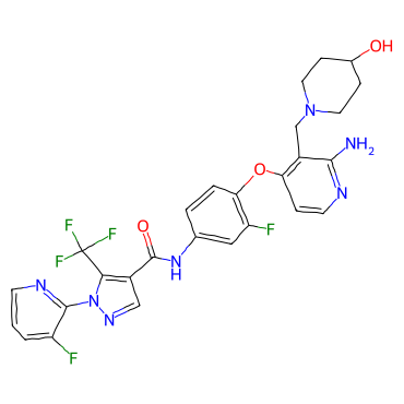 Nc1nccc(Oc2ccc(NC(=O)c3cnn(-c4ncccc4F)c3C(F)(F)F)cc2F)c1CN1CCC(O)CC1